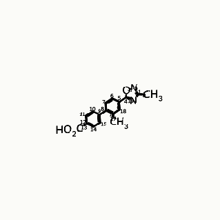 Cc1noc(-c2ccc(-c3ccc(C(=O)O)cc3)c(C)c2)n1